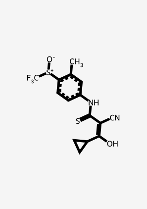 Cc1cc(NC(=S)/C(C#N)=C(/O)C2CC2)ccc1[S+]([O-])C(F)(F)F